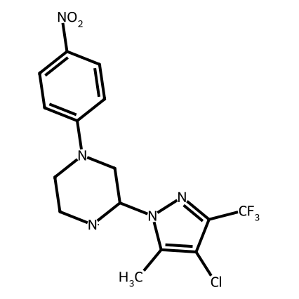 Cc1c(Cl)c(C(F)(F)F)nn1C1CN(c2ccc([N+](=O)[O-])cc2)CC[N]1